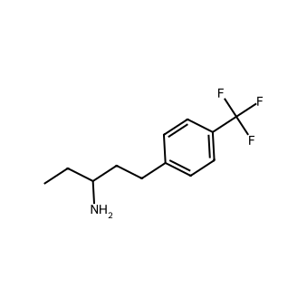 CCC(N)CCc1ccc(C(F)(F)F)cc1